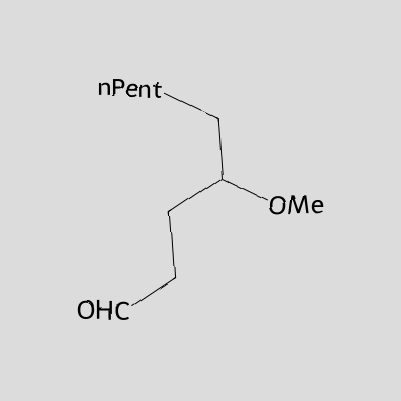 CCCCCCC(CCC=O)OC